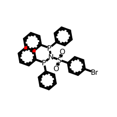 O=S(=O)(c1ccc(Br)cc1)N(P(c1ccccc1)c1ccccc1)P(c1ccccc1)c1ccccc1